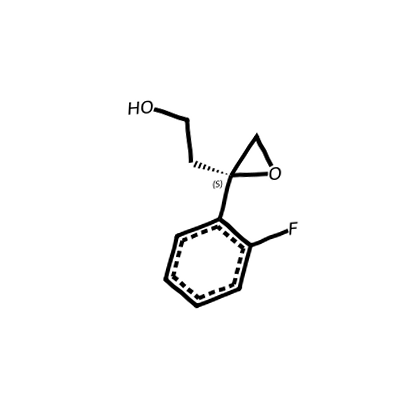 OCC[C@]1(c2ccccc2F)CO1